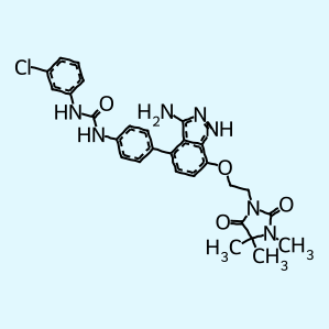 CN1C(=O)N(CCOc2ccc(-c3ccc(NC(=O)Nc4cccc(Cl)c4)cc3)c3c(N)n[nH]c23)C(=O)C1(C)C